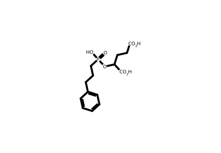 O=C(O)CCC(OP(=O)(O)CCCc1ccccc1)C(=O)O